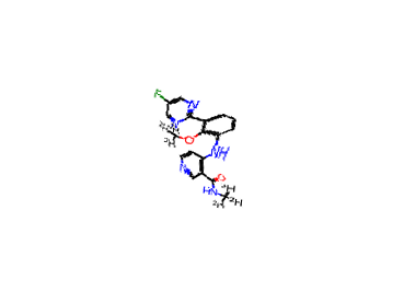 [2H]C([2H])([2H])NC(=O)c1cnccc1Nc1cccc(-c2ncc(F)cn2)c1OC([2H])([2H])[2H]